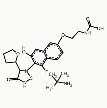 CC(C)(C)N.O=C(O)NCCOc1ccc2c(F)c(N3SNC(=O)C3C3CCCO3)c(O)cc2c1